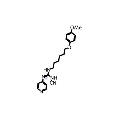 COc1ccc(OCCCCCCN/C(=N/c2ccncc2)NC#N)cc1